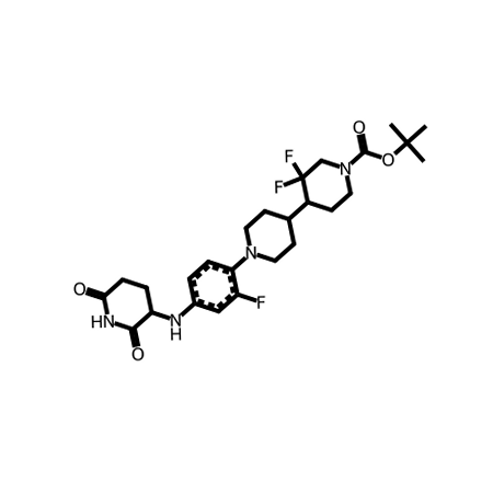 CC(C)(C)OC(=O)N1CCC(C2CCN(c3ccc(NC4CCC(=O)NC4=O)cc3F)CC2)C(F)(F)C1